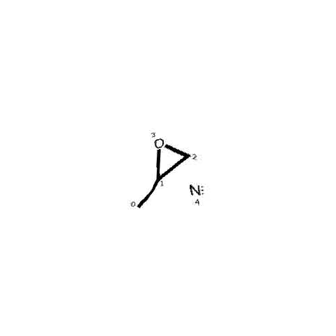 CC1CO1.[N]